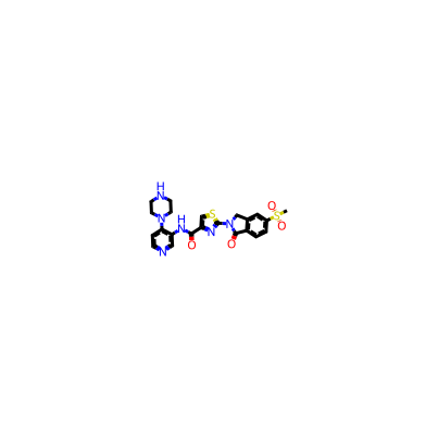 CS(=O)(=O)c1ccc2c(c1)CN(c1nc(C(=O)Nc3cnccc3N3CCNCC3)cs1)C2=O